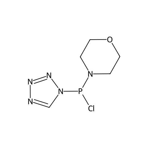 ClP(N1CCOCC1)n1cnnn1